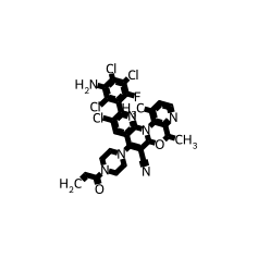 C=CC(=O)N1CCN(C2=C(C#N)C3OC(C)c4nccc(C)c4N3c3nc(-c4c(F)c(Cl)c(Cl)c(N)c4Cl)c(Cl)cc32)CC1